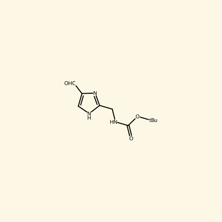 CC(C)(C)OC(=O)NCc1nc(C=O)c[nH]1